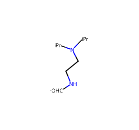 CC(C)N(CCN[C]=O)C(C)C